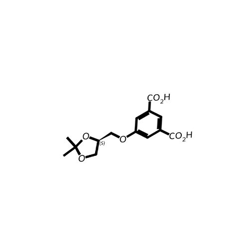 CC1(C)OC[C@H](COc2cc(C(=O)O)cc(C(=O)O)c2)O1